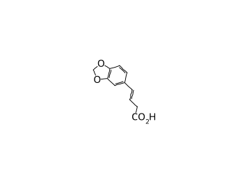 O=C(O)CC=Cc1ccc2c(c1)OCO2